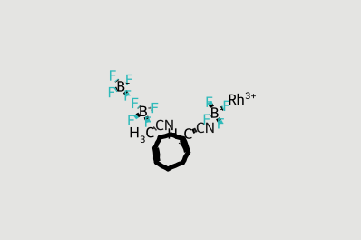 C1=CCCC=CCC1.CC#N.CC#N.F[B-](F)(F)F.F[B-](F)(F)F.F[B-](F)(F)F.[Rh+3]